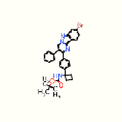 CC(C)(C)OC(=O)NC1(c2ccc(-c3nc4c5ccc(Br)cc5nn4cc3-c3ccccc3)cc2)CCC1